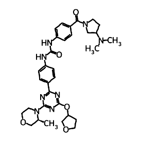 C[C@H]1COCCN1c1nc(OC2CCOC2)nc(-c2ccc(NC(=O)Nc3ccc(C(=O)N4CCC(N(C)C)C4)cc3)cc2)n1